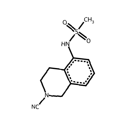 CS(=O)(=O)Nc1cccc2c1CCN(C#N)C2